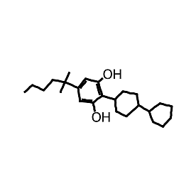 CCCCC(C)(C)c1cc(O)c(C2CCC(C3CCCCC3)CC2)c(O)c1